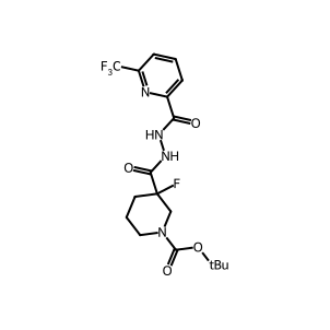 CC(C)(C)OC(=O)N1CCCC(F)(C(=O)NNC(=O)c2cccc(C(F)(F)F)n2)C1